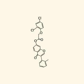 Cc1ccccc1-c1coc2cc(OC(=O)COc3ccc(Cl)cc3Cl)ccc2c1=O